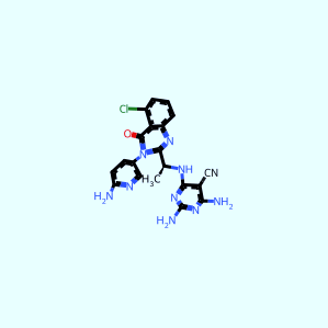 C[C@H](Nc1nc(N)nc(N)c1C#N)c1nc2cccc(Cl)c2c(=O)n1-c1ccc(N)nc1